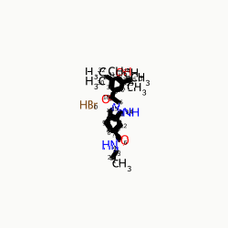 Br.CCCNC(=O)c1ccc2c(c1)C(=N)N(CC(=O)c1cc(C(C)(C)C)c(O)c(C(C)(C)C)c1)C2